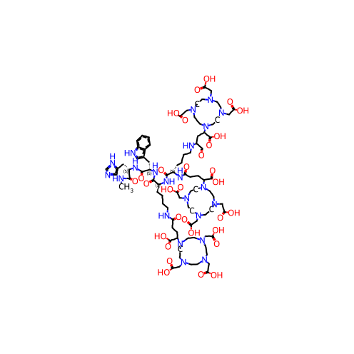 CNC(=O)[C@H](Cc1cnc[nH]1)NC(=O)[C@H](Cc1c[nH]c2ccccc12)NC(=O)[C@H](CCCCNC(=O)CCC(C(=O)O)N1CCN(CC(=O)O)CCN(CC(=O)O)CCN(CC(=O)O)CC1)NC(=O)[C@H](CCCCNC(C=O)CC(C(=O)O)N1CCN(CC(=O)O)CCN(CC(=O)O)CCN(CC(=O)O)CC1)NC(=O)CCC(C(=O)O)N1CCN(CC(=O)O)CCN(CC(=O)O)CCN(CC(=O)O)CC1